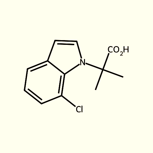 CC(C)(C(=O)O)n1ccc2cccc(Cl)c21